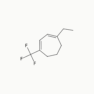 CCC1=CC=C(C(F)(F)F)CCC1